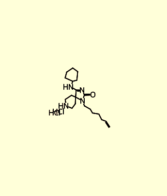 C=CCCCCCN1C(=O)N=C(NC2CCCCC2)C12CCNCC2.Cl.Cl